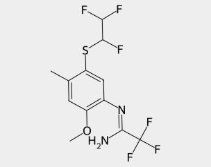 COc1cc(C)c(SC(F)C(F)F)cc1N=C(N)C(F)(F)F